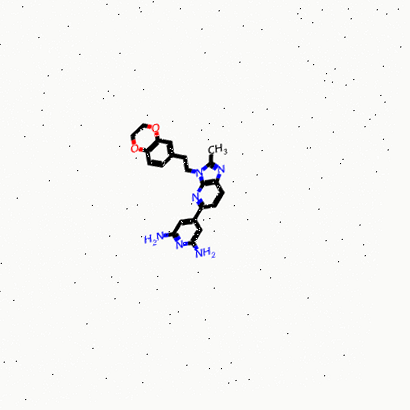 Cc1nc2ccc(-c3cc(N)nc(N)c3)nc2n1CCc1ccc2c(c1)OCCO2